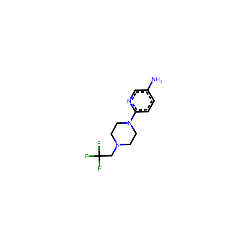 Nc1ccc(N2CCN(CC(F)(F)F)CC2)nc1